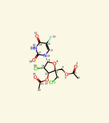 CC(=O)OC[C@]1(CCl)O[C@@H](n2cc(F)c(=O)[nH]c2=O)[C@H](Cl)[C@@H]1OC(C)=O